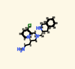 NCCCCN(Cc1ncccc1Cl)C[C@H]1Cc2ccccc2CN1